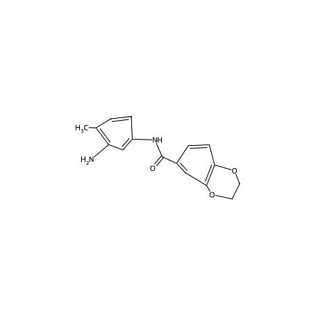 Cc1ccc(NC(=O)c2ccc3c(c2)OCCO3)cc1N